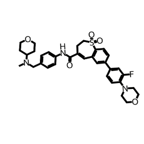 CN(Cc1ccc(NC(=O)C2=Cc3cc(-c4ccc(N5CCOCC5)c(F)c4)ccc3S(=O)(=O)CC2)cc1)C1CCOCC1